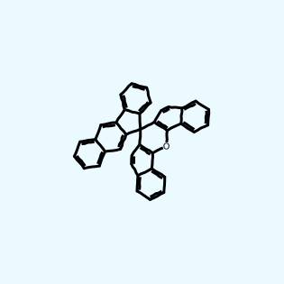 c1ccc2c(c1)-c1cc3ccccc3cc1C21c2ccc3ccccc3c2Oc2c1ccc1ccccc21